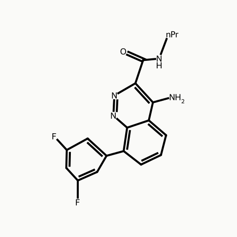 CCCNC(=O)c1nnc2c(-c3cc(F)cc(F)c3)cccc2c1N